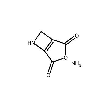 N.O=C1OC(=O)C2=C1CN2